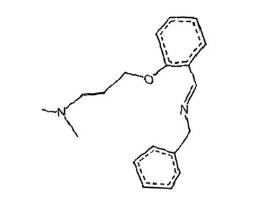 CN(C)CCCOc1ccccc1C=NCc1ccccc1